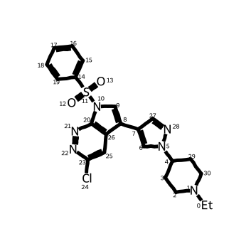 CCN1CCC(n2cc(-c3cn(S(=O)(=O)c4ccccc4)c4nnc(Cl)cc34)cn2)CC1